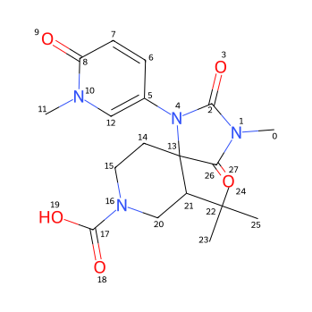 CN1C(=O)N(c2ccc(=O)n(C)c2)C2(CCN(C(=O)O)CC2C(C)(C)C)C1=O